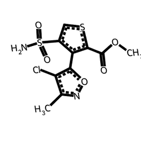 COC(=O)c1scc(S(N)(=O)=O)c1-c1onc(C)c1Cl